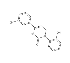 O=C1NC(c2cccc(Cl)c2)=CCN1c1ccccc1O